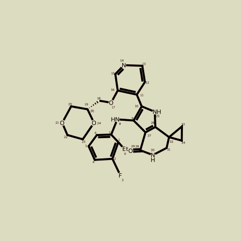 CCc1c(F)cccc1Nc1c(-c2ccncc2OC[C@H]2COCCO2)[nH]c2c1C(=O)NCC21CC1